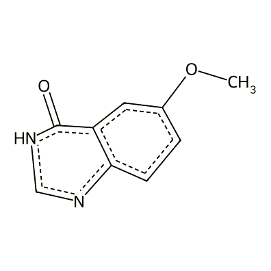 COc1ccc2nc[nH]c(=O)c2c1